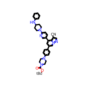 CC(C)(C)OC(=O)N1CCN(c2ccc(-c3cc(-c4ccc(N5CCC(Nc6ccccc6)CC5)nc4)c4c(C#N)cnn4c3)cc2)CC1